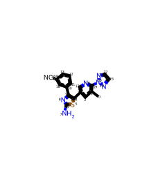 Cc1cc(-c2sc(N)nc2-c2cccc(C#N)c2)cnc1-n1nccn1